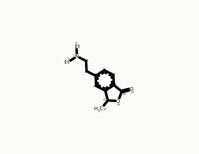 CCN(CC)CCc1ccc2c(c1)C(C)OC2=O